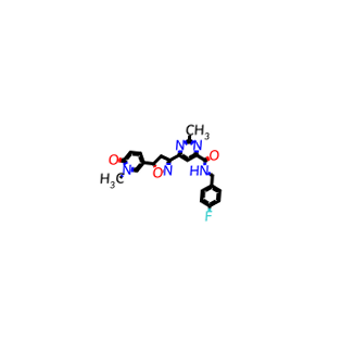 Cc1nc(C(=O)NCc2ccc(F)cc2)cc(C2=NOC(c3ccc(=O)n(C)c3)C2)n1